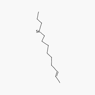 C/C=C/CCCCCC[Se]CCC